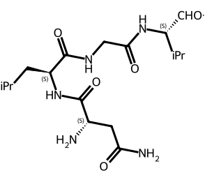 CC(C)C[C@H](NC(=O)[C@@H](N)CC(N)=O)C(=O)NCC(=O)N[C@H]([C]=O)C(C)C